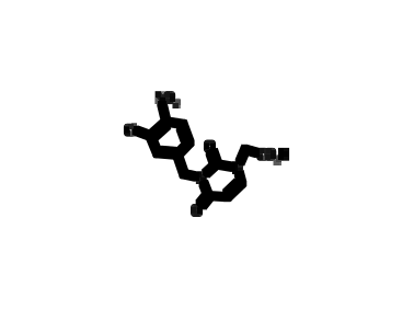 O=C(O)Cn1ccc(=O)n(Cc2ccc([N+](=O)[O-])c(Cl)c2)c1=O